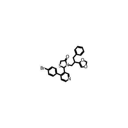 O=C1CSC(c2cnccc2-c2ccc(Br)cc2)N1CC(Cc1ccccc1)C1=COCO1